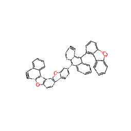 c1ccc2c(c1)ccc1oc3ccc4c5ccc(-c6c7ccccc7c(-c7cccc8oc9ccccc9c78)c7ccccc67)cc5oc4c3c12